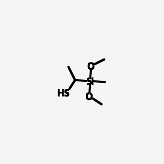 CO[Si](C)(OC)C(C)S